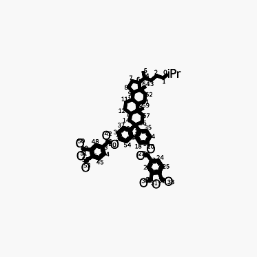 CC(C)CCCC(C)C1CCC2C3CCC4CC(c5ccc(OC(=O)c6ccc7c(c6)C(=O)OC7=O)cc5)(c5ccc(OC(=O)c6ccc7c(c6)C(=O)OC7=O)cc5)CCC4(C)C3CCC12C